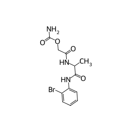 CC(NC(=O)COC(N)=O)C(=O)Nc1ccccc1Br